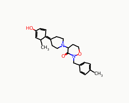 Cc1ccc(CN2OCCC(N3CCC(=C4C=CC(O)=CC4C)CC3)C2=O)cc1